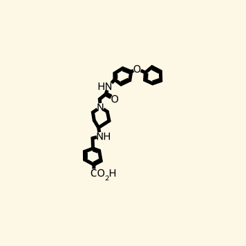 O=C(CN1CCC(NCc2ccc(C(=O)O)cc2)CC1)Nc1ccc(Oc2ccccc2)cc1